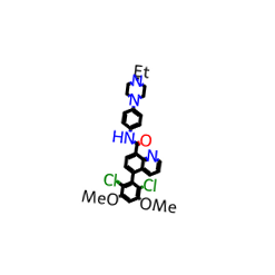 CCN1CCN(c2ccc(NC(=O)c3ccc(-c4c(Cl)c(OC)cc(OC)c4Cl)c4cccnc34)cc2)CC1